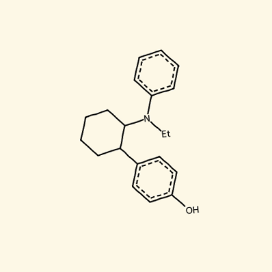 CCN(c1ccccc1)C1CCCCC1c1ccc(O)cc1